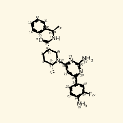 C[C@@H]1CC[C@H](C(=O)N[C@H](C)c2ccccc2)CN1c1cc(-c2ccc(N)c(F)c2)nc(N)n1